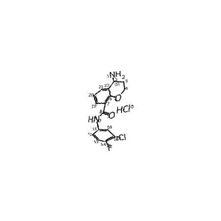 Cl.N[C@H]1CCOc2c(C(=O)Nc3ccc(F)c(Cl)c3)cccc21